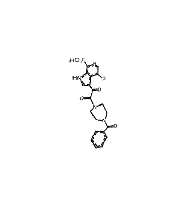 O=C(O)c1ncc(Cl)c2c(C(=O)C(=O)N3CCN(C(=O)c4ccccc4)CC3)c[nH]c12